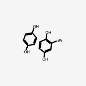 CCCc1cc(O)ccc1O.Oc1ccc(O)cc1